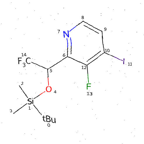 CC(C)(C)[Si](C)(C)OC(c1nccc(I)c1F)C(F)(F)F